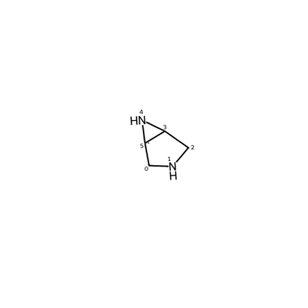 C1NCC2N[C]12